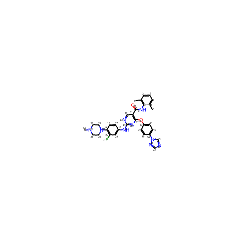 Cc1cccc(C)c1NC(=O)c1cnc(Nc2ccc(N3CCN(C)CC3)c(F)c2)nc1Oc1ccc(-n2cncn2)cc1